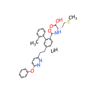 CSCC[C@H](NC(=O)c1ccc(CCc2ccc(Oc3ccccc3)nn2)cc1-c1ccccc1C)C(=O)O.[LiH]